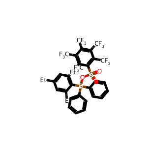 CCc1cc(CC)c(S(OS(=O)(=O)c2c(C(F)(F)F)c(C(F)(F)F)c(C(F)(F)F)c(C(F)(F)F)c2C(F)(F)F)(c2ccccc2)c2ccccc2)c(CC)c1